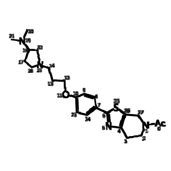 CC(=O)N1CCc2nc(-c3ccc(OCCCN4CCC(N(C)C)C4)cc3)sc2C1